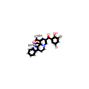 COC(=O)C1=CC(C(=O)c2cc(Br)cc(Br)c2O)=CN2CCc3c([nH]c4ccccc34)C12C(=O)OC